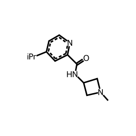 CC(C)c1ccnc(C(=O)NC2CN(C)C2)c1